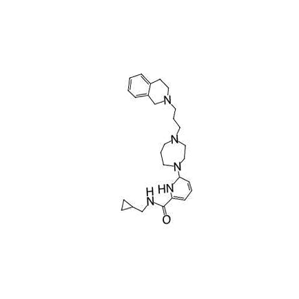 O=C(NCC1CC1)C1=CC=CC(N2CCCN(CCCN3CCc4ccccc4C3)CC2)N1